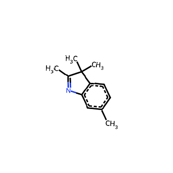 CC1=Nc2cc(C)ccc2C1(C)C